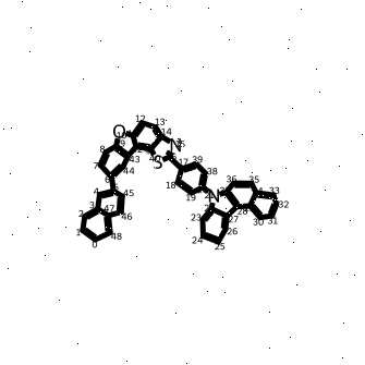 c1ccc2cc(-c3ccc4oc5ccc6nc(-c7ccc(-n8c9ccccc9c9c%10ccccc%10ccc98)cc7)sc6c5c4c3)ccc2c1